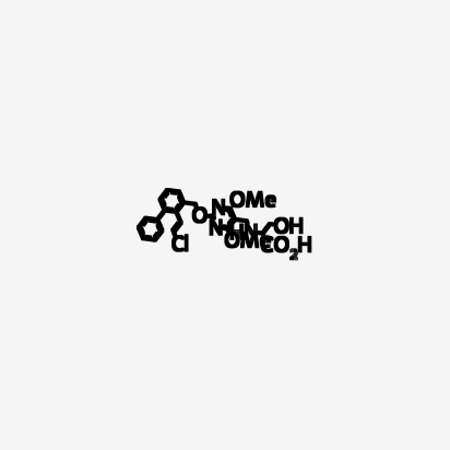 COc1nc(OCc2cccc(-c3ccccc3)c2C=CCl)nc(OC)c1CN[C@@H](CO)C(=O)O